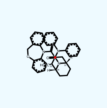 O=C(O)[C@@H]1[C@H]2CCC[C@@H](CN1C(=O)N1c3ccccc3COc3ccccc31)N2C(=O)N(c1ccccc1)c1ccccc1